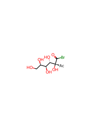 CC(=O)[C@](O)(C(=O)Br)[C@@H](O)[C@@H](O)[C@H](O)CO